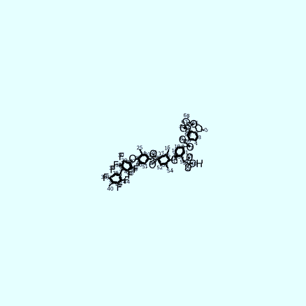 COc1ccc(S(=O)(=O)c2ccc(Oc3c(C)cc(S(=O)(=O)c4cc(C)c(Oc5c(F)c(F)c(-c6c(F)c(F)c(C)c(F)c6F)c(F)c5F)c(C)c4)cc3C)c(CS(=O)(=O)O)c2)cc1S(=O)(=O)OC